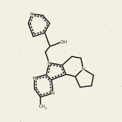 Cc1cnc2c(n1)c1c(n2CC(O)c2ccncc2)CCN2CCCC12